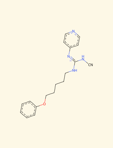 N#CN/C(=N\c1ccncc1)NCCCCCOc1ccccc1